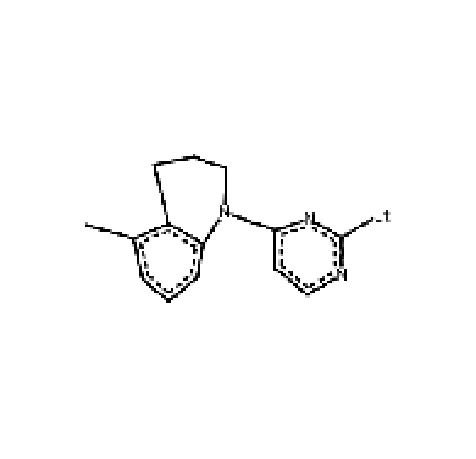 CCc1nccc(N2CCCc3c(C)cccc32)n1